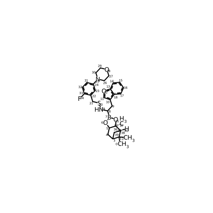 CC1(C)C2CC3OB(C(Cc4coc5ccccc45)NSCc4cc(N5CCOCC5)ccc4F)O[C@@]3(C)[C@H]1C2